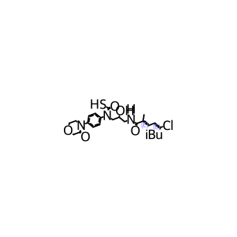 CCC(C)/C(Cl)=C\C=C(/C)C(=O)NCC(O)CN(C(=O)S)c1ccc(N2CCOCC2=O)cc1